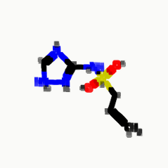 C=CCS(=O)(=O)Nc1n[c][nH]n1